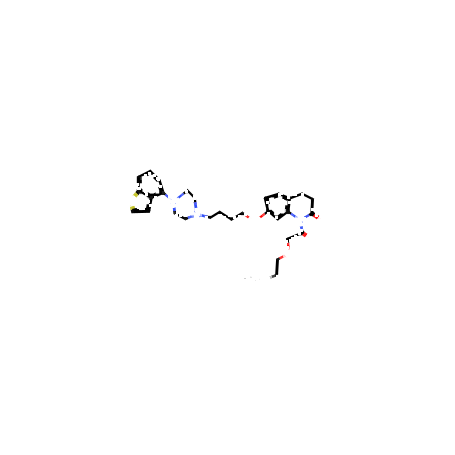 COCCOCC(=O)N1C(=O)CCc2ccc(OCCCCN3CCN(c4cccc5sccc45)CC3)cc21